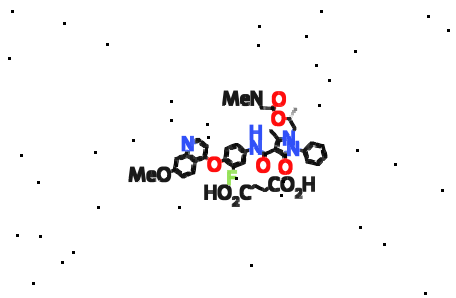 CNCC(=O)O[C@H](C)Cn1c(C)c(C(=O)Nc2ccc(Oc3ccnc4cc(OC)ccc34)c(F)c2)c(=O)n1-c1ccccc1.O=C(O)CCC(=O)O